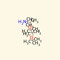 CC(COC(C)(C)C(C)(C)COC(C)(C)C)C(C)(C)N